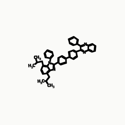 CC(C)Cc1ccc(CC(C)C)c2c1nc(-c1ccc(-c3ccc(-c4nc5ccccc5nc4-c4ccccc4)cc3)cc1)n2-c1ccccc1